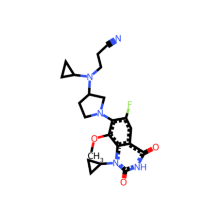 COc1c(N2CCC(N(CCC#N)C3CC3)C2)c(F)cc2c(=O)[nH]c(=O)n(C3CC3)c12